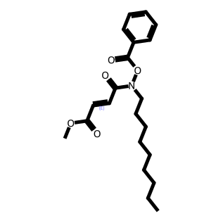 CCCCCCCCCN(OC(=O)c1ccccc1)C(=O)/C=C/C(=O)OC